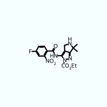 CCOC(=O)n1nc2c(c1NC(=O)c1ccc(F)cc1[N+](=O)[O-])CNC2(C)C